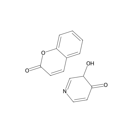 O=C1C=CN=CC1O.O=c1ccc2ccccc2o1